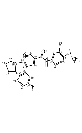 O=C(Nc1ccc(OC(F)(F)F)c(F)c1)c1cnc(N2CCCC2)c(-c2cncc(F)c2)c1